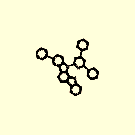 c1ccc(-c2ccc3c(c2)c2ccc4c5ccccc5sc4c2n3-c2nc(-c3ccccc3)cc(-c3ccccc3)n2)cc1